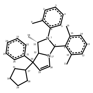 Cc1ccccc1N1C(c2c(C)cccc2C)N2C=CC(c3ccccc3)(C3CCCC3)C2[C@@H]1C